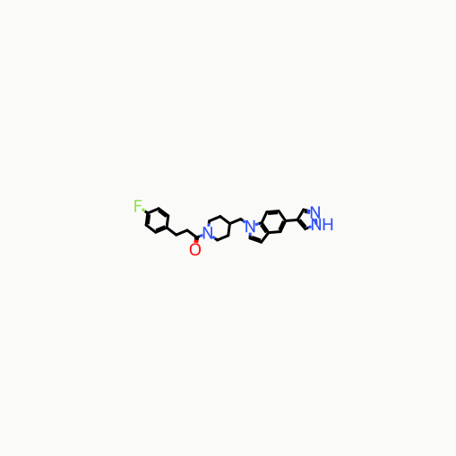 O=C(CCc1ccc(F)cc1)N1CCC(Cn2ccc3cc(-c4cn[nH]c4)ccc32)CC1